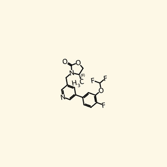 C[C@@H]1COC(=O)N1Cc1cncc(-c2ccc(F)c(OC(F)F)c2)c1